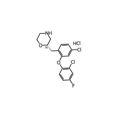 Cl.Fc1ccc(Oc2cc(Cl)ccc2C[C@H]2CNCCO2)c(Cl)c1